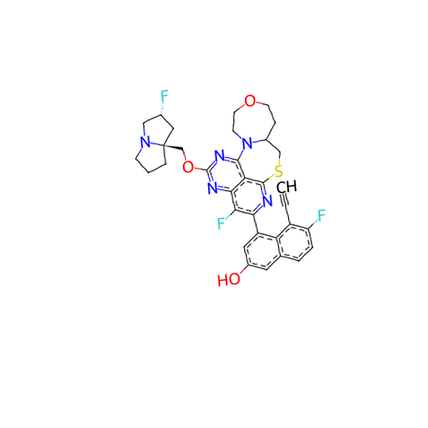 C#Cc1c(F)ccc2cc(O)cc(-c3nc4c5c(nc(OC[C@@]67CCCN6C[C@H](F)C7)nc5c3F)N3CCOCCC3CS4)c12